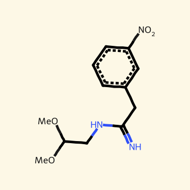 COC(CNC(=N)Cc1cccc([N+](=O)[O-])c1)OC